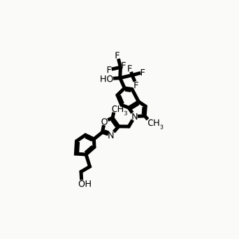 Cc1oc(-c2cccc(CCO)c2)nc1Cn1c(C)cc2cc(C(O)(C(F)(F)F)C(F)(F)F)ccc21